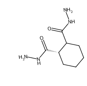 NNC(=O)C1CCCC[C@@H]1C(=O)NN